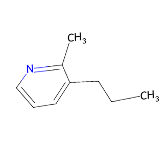 CCCc1cccnc1C